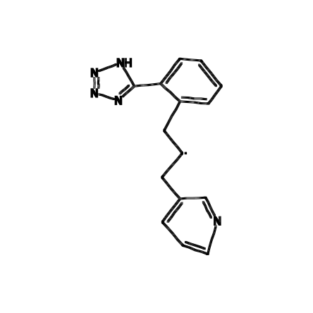 [CH](Cc1cccnc1)Cc1ccccc1-c1nnn[nH]1